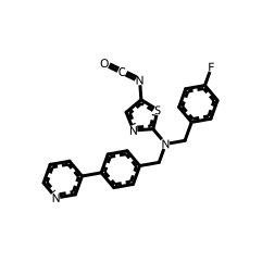 O=C=Nc1cnc(N(Cc2ccc(F)cc2)Cc2ccc(-c3cccnc3)cc2)s1